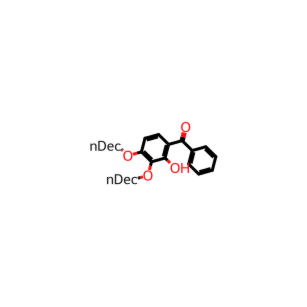 CCCCCCCCCCOc1ccc(C(=O)c2ccccc2)c(O)c1OCCCCCCCCCC